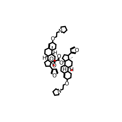 C[C@]12CCC(OCCN3CCCC3)C=C1CC[C@@H]1[C@H]2CC[C@]2(C)C(c3ccoc3)CC[C@@]12OC(=O)C(=O)O[C@@]12CCC(c3ccoc3)[C@@]1(C)CC[C@@H]1[C@H]2CCC2=CC(OCCN3CCCC3)CC[C@@]21C